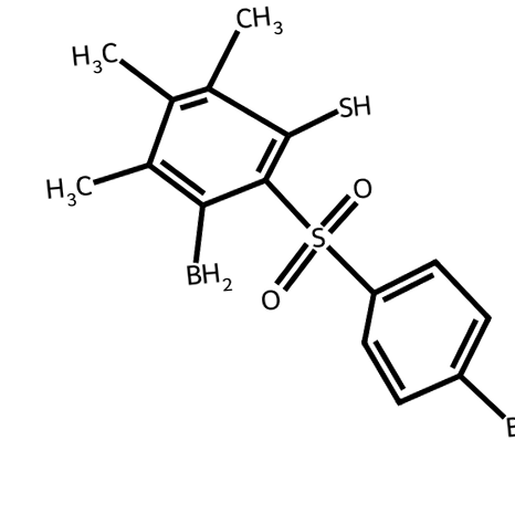 Bc1c(C)c(C)c(C)c(S)c1S(=O)(=O)c1ccc(Br)cc1